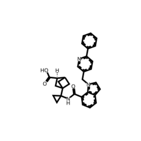 O=C(NC1(C23CC(C2)[C@H](C(=O)O)C3)CC1)c1cccc2ccn(Cc3ccc(-c4ccccc4)nc3)c12